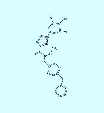 CON(Cc1ccc(Oc2ccccc2)cc1)C(=O)c1ncn(-c2cc(Cl)c(O)c(Cl)c2)n1